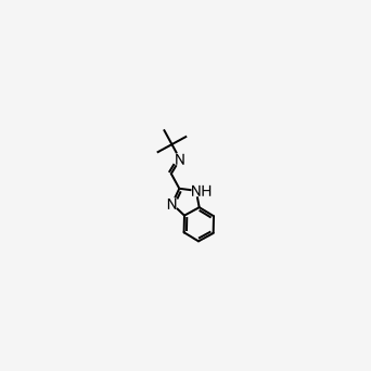 CC(C)(C)/N=C/c1nc2ccccc2[nH]1